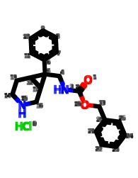 Cl.O=C(NCC1(c2ccccc2)C2CCNCC21)OCc1ccccc1